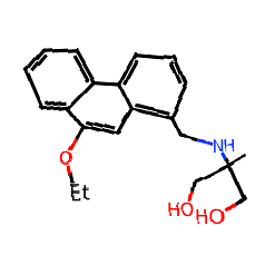 CCOc1cc2c(CNC(C)(CO)CO)cccc2c2ccccc12